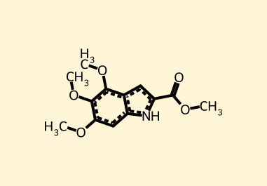 COC(=O)c1cc2c(OC)c(OC)c(OC)cc2[nH]1